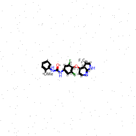 COc1ccccc1NC(=O)Nc1cc(F)c(Oc2ccnc3[nH]cc(C(F)(F)F)c23)c(F)c1